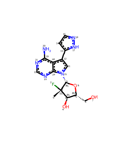 C[C@]1(F)[C@H](O)[C@@H](CO)O[C@H]1n1cc(-c2ccn[nH]2)c2c(N)ncnc21